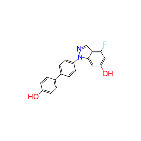 Oc1ccc(-c2ccc(-n3ncc4c(F)cc(O)cc43)cc2)cc1